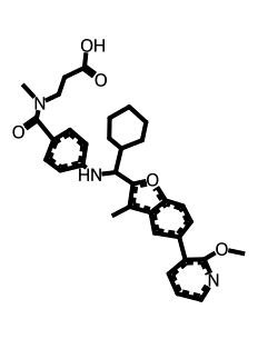 COc1ncccc1-c1ccc2oc(C(Nc3ccc(C(=O)N(C)CCC(=O)O)cc3)C3CCCCC3)c(C)c2c1